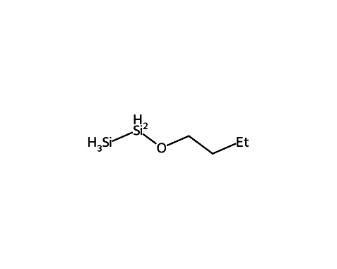 CCCCO[SiH2][SiH3]